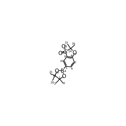 CC1(C)OB(c2ccc3c(c2)S(=O)(=O)C(C)(C)O3)OC1(C)C